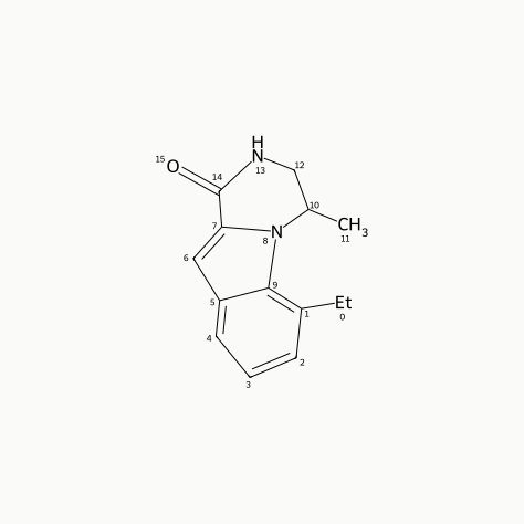 CCc1cccc2cc3n(c12)C(C)CNC3=O